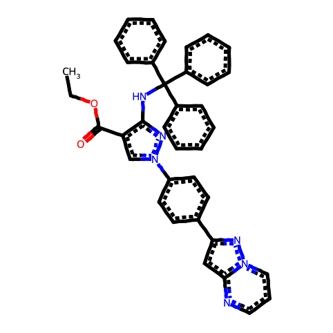 CCOC(=O)c1cn(-c2ccc(-c3cc4ncccn4n3)cc2)nc1NC(c1ccccc1)(c1ccccc1)c1ccccc1